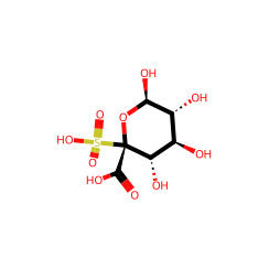 O=C(O)[C@@]1(S(=O)(=O)O)O[C@@H](O)[C@H](O)[C@@H](O)[C@@H]1O